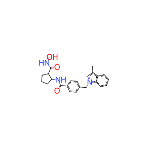 Cc1cn(Cc2ccc(C(=O)NC3CCCC3C(=O)NO)cc2)c2ccccc12